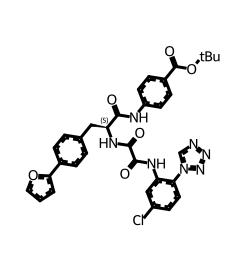 CC(C)(C)OC(=O)c1ccc(NC(=O)[C@H](Cc2ccc(-c3ccco3)cc2)NC(=O)C(=O)Nc2cc(Cl)ccc2-n2cnnn2)cc1